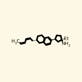 C/C=C\C=C/C[C@@H]1CCc2cc([C@H]3CC[C@](N)(CC)C3)ccc2C1